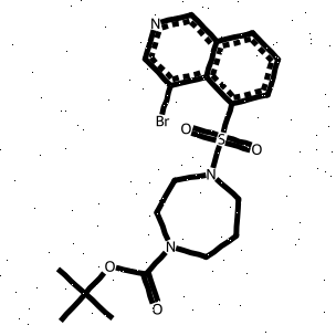 CC(C)(C)OC(=O)N1CCCN(S(=O)(=O)c2cccc3cncc(Br)c23)CC1